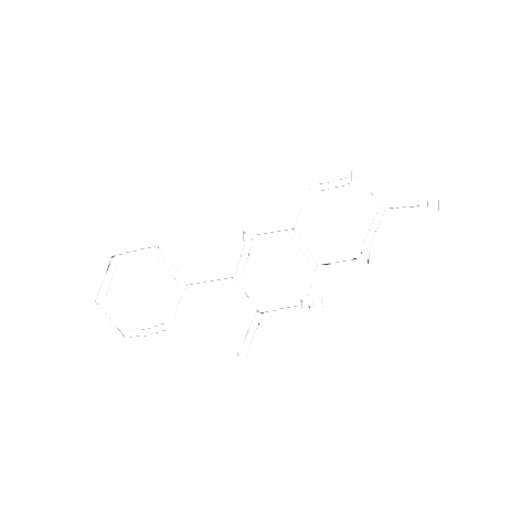 O=c1[nH]c2nc(Cl)ncc2nc1-c1ccccc1